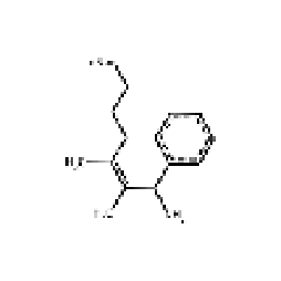 CCCCCCCCCCCCC(C)=C(C)C(N)c1ccccc1